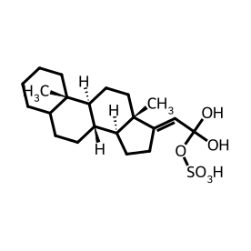 C[C@]12CCCCC1CC[C@@H]1[C@@H]2CC[C@]2(C)C(=CC(O)(O)OS(=O)(=O)O)CC[C@@H]12